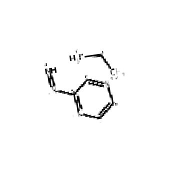 CCC.N=Nc1cnccn1